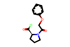 O=C(Cl)[C@@H]1CCCN1C(=O)COc1ccccc1